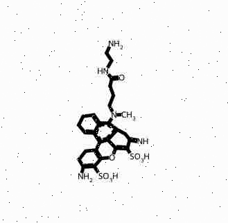 CN(CCCC(=O)NCCN)c1c2c3c(c4c1=CCCC=4)C1=C(OC3=C(S(=O)(=O)O)C(=N)C2)C(S(=O)(=O)O)=C(N)CC1